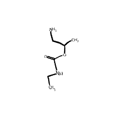 CCNC(=O)OC(C)CN